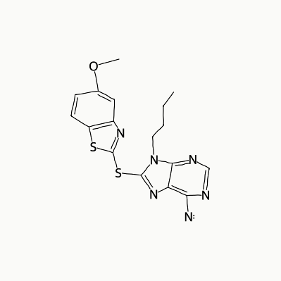 CCCCn1c(Sc2nc3cc(OC)ccc3s2)nc2c([N])ncnc21